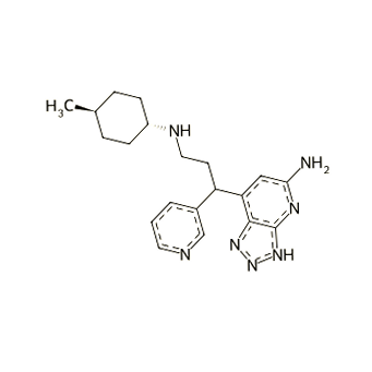 C[C@H]1CC[C@H](NCCC(c2cccnc2)c2cc(N)nc3[nH]nnc23)CC1